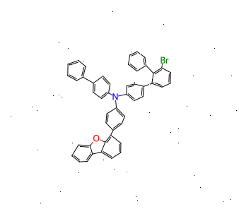 Brc1cccc(-c2ccc(N(c3ccc(-c4ccccc4)cc3)c3ccc(-c4cccc5c4oc4ccccc45)cc3)cc2)c1-c1ccccc1